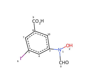 O=CN(O)c1cc(I)cc(C(=O)O)c1